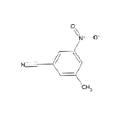 Cc1cc(C#N)cc([N+](=O)[O-])c1